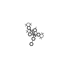 Cc1cc2c3c(c1)N1c4cc5c(cc4C(C)(C)c4cccc(c41)B3N(c1ccc(-c3ccccc3)cc1)c1cc3c(cc1-2)C(C)(C)CCC3(C)C)C(C)(C)CCC5(C)C